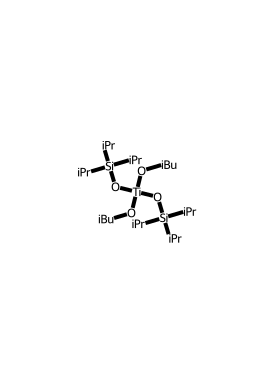 CCC(C)[O][Ti]([O]C(C)CC)([O][Si](C(C)C)(C(C)C)C(C)C)[O][Si](C(C)C)(C(C)C)C(C)C